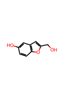 OCc1cc2cc(O)ccc2o1